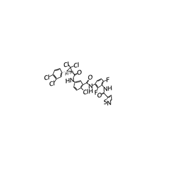 O=C(Nc1c(F)ccc(NC(=O)c2cc(NC(=O)[C@H]3[C@H](c4ccc(Cl)c(Cl)c4)C3(Cl)Cl)ccc2Cl)c1F)c1ccns1